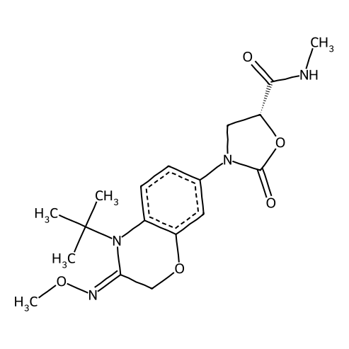 CNC(=O)[C@H]1CN(c2ccc3c(c2)OCC(=NOC)N3C(C)(C)C)C(=O)O1